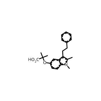 Cc1c(CCc2ccccc2)c2cc(OC(C)(C)C(=O)O)ccc2n1C